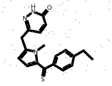 CCc1ccc(C(=S)c2ccc(Cc3ccc(=O)[nH]n3)n2C)cc1